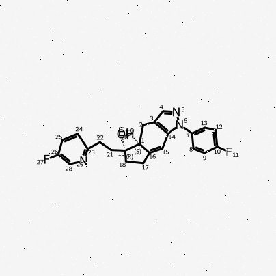 CC[C@]12Cc3cnn(-c4ccc(F)cc4)c3C=C1CC[C@@]2(O)CCc1ccc(F)cn1